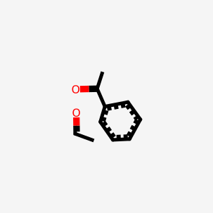 CC(=O)c1ccccc1.CC=O